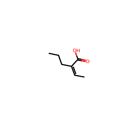 CC=C(CCC)C(=O)O